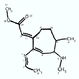 C/C=N\C1=CC(NC)C(C)CC/C1=C\C(=O)OC